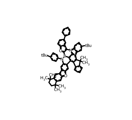 CC(C)(C)c1ccc(N2B3c4oc5ccc(-c6ccccc6)cc5c4-n4c5ccc(C(C)(C)C)cc5c5c6c(c(c3c54)-c3cc4oc5cc7c(cc5c4cc32)C(C)(C)CCC7(C)C)-c2ccccc2C6(C)C)cc1